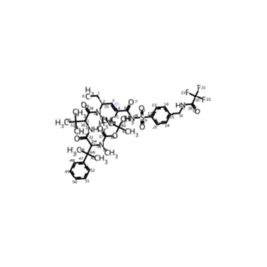 CC[C@@H](/C=C(\C)C(=O)NS(=O)(=O)c1ccc(CNC(=O)C(F)(F)F)cc1)N(C)C(=O)[C@@H](NC(=O)[C@@H](N(C)C(=O)OC(C)(C)C)C(C)(C)c1ccccc1)C(C)(C)C